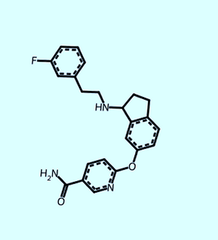 NC(=O)c1ccc(Oc2ccc3c(c2)C(NCCc2cccc(F)c2)CC3)nc1